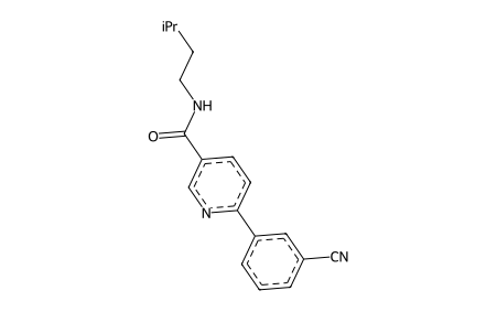 CC(C)CCNC(=O)c1ccc(-c2cccc(C#N)c2)nc1